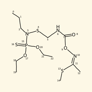 CCCN(SCNC(=O)ON=C(C)SC)P(=S)(OCC)OCC